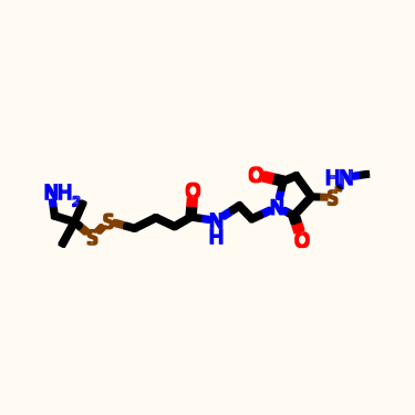 CNSC1CC(=O)N(CCNC(=O)CCCSSC(C)(C)CN)C1=O